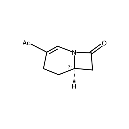 CC(=O)C1=CN2C(=O)C[C@H]2CC1